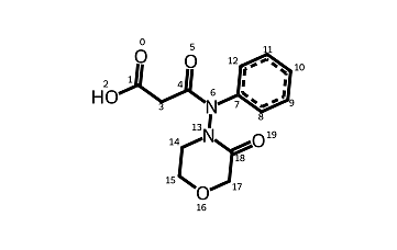 O=C(O)CC(=O)N(c1ccccc1)N1CCOCC1=O